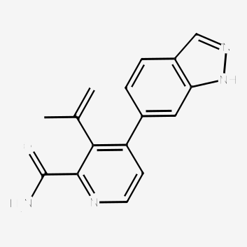 C=C(C)c1c(-c2ccc3cn[nH]c3c2)ccnc1C(N)=O